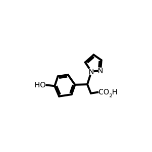 O=C(O)CC(c1ccc(O)cc1)n1cccn1